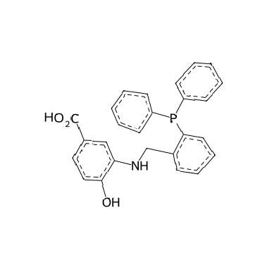 O=C(O)c1ccc(O)c(NCc2ccccc2P(c2ccccc2)c2ccccc2)c1